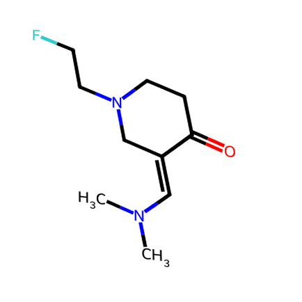 CN(C)C=C1CN(CCF)CCC1=O